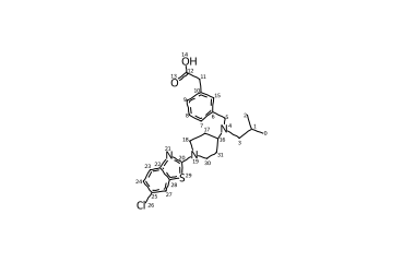 CC(C)CN(Cc1cccc(CC(=O)O)c1)C1CCN(c2nc3ccc(Cl)cc3s2)CC1